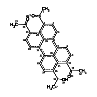 CC(=O)c1ccc2c3ccc(C(C)=O)c4c(C(C)O)ccc(c5ccc(C(C)=O)c1c25)c43